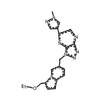 CCOCc1ccc2ccc(Cn3nnc4ncc(-c5cnn(C)c5)nc43)cn12